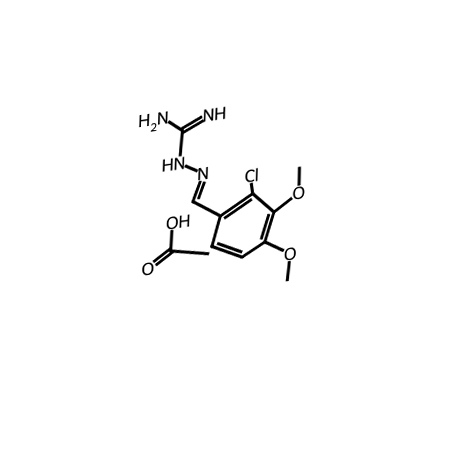 CC(=O)O.COc1ccc(C=NNC(=N)N)c(Cl)c1OC